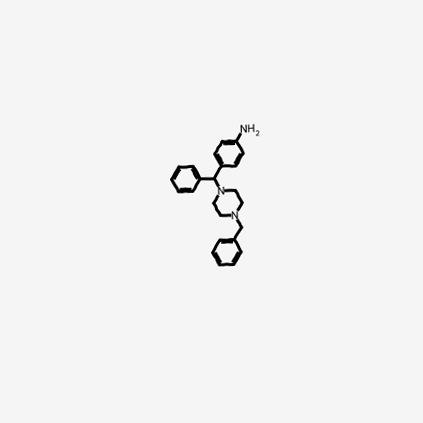 Nc1ccc(C(c2ccccc2)N2CCN(Cc3ccccc3)CC2)cc1